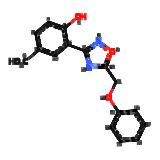 O=C(O)c1ccc(O)c(-c2noc(COc3ccccc3)n2)c1